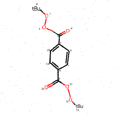 CC(C)(C)OOC(=O)c1ccc(C(=O)OOC(C)(C)C)cc1